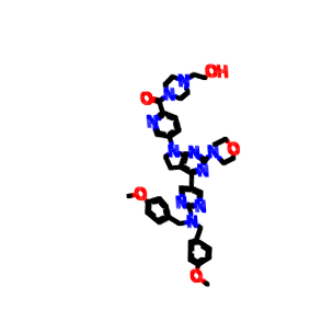 COc1ccc(CN(Cc2ccc(OC)cc2)c2ncc(-c3nc(N4CCOCC4)nc4c3CCN4c3ccc(C(=O)N4CCN(CCO)CC4)nc3)cn2)cc1